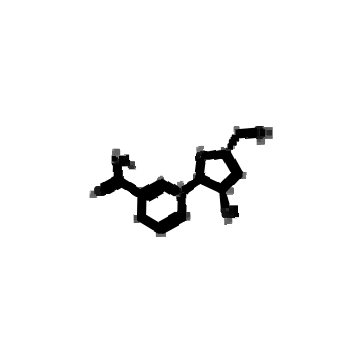 NC(=O)C1=CN([C@H]2O[C@H](CO)C[C@H]2O)C=CC1